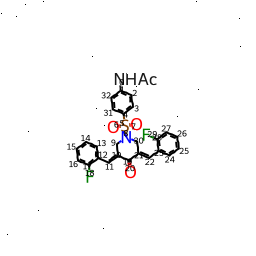 CC(=O)Nc1ccc(S(=O)(=O)N2CC(=Cc3ccccc3F)C(=O)C(=Cc3ccccc3F)C2)cc1